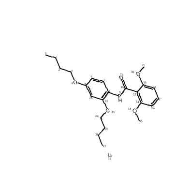 CCCCOc1ccc(PC(=O)c2c(OC)cccc2OC)c(OCCCC)c1.[Li]